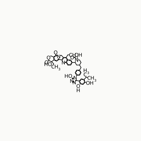 CCc1c2c(nc3ccc(C4CC(Cc5ccc(-n6c(O)nnc6-c6cc(C(C)C)c(O)cc6O)cc5)CCN4C(=O)O)cc13)-c1cc3c(c(=O)n1C2)COC(=O)C3(O)CC